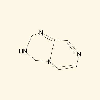 C1=CN2CNCN=C2C=N1